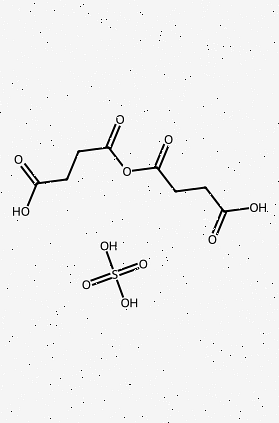 O=C(O)CCC(=O)OC(=O)CCC(=O)O.O=S(=O)(O)O